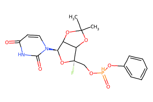 CC1(C)OC2C(O1)[C@@](F)(CO[PH](=O)Oc1ccccc1)O[C@H]2n1ccc(=O)[nH]c1=O